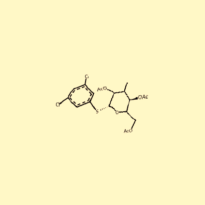 CC(=O)OCC1O[C@H](Sc2cc(Cl)cc(Cl)c2)C(OC(C)=O)C(C)[C@H]1OC(C)=O